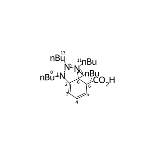 CCCCN1C2=CC=CC(C(=O)O)C2(CCCC)N(CCCC)N1CCCC